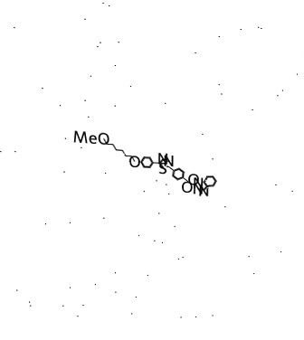 COCCCCCCOc1ccc(-c2nnc(-c3ccc(C(=O)On4nnc5ccccc54)cc3)s2)cc1